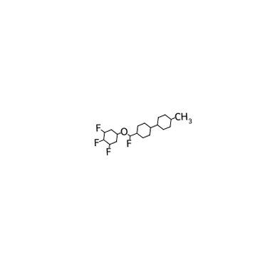 CC1CCC(C2CCC(C(F)OC3CC(F)C(F)C(F)C3)CC2)CC1